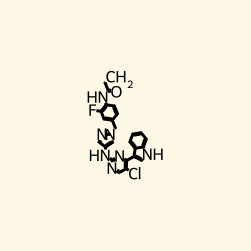 C=CC(=O)Nc1ccc(Cn2cc(Nc3ncc(Cl)c(-c4c[nH]c5ccccc45)n3)cn2)cc1F